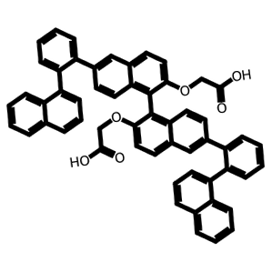 O=C(O)COc1ccc2cc(-c3ccccc3-c3cccc4ccccc34)ccc2c1-c1c(OCC(=O)O)ccc2cc(-c3ccccc3-c3cccc4ccccc34)ccc12